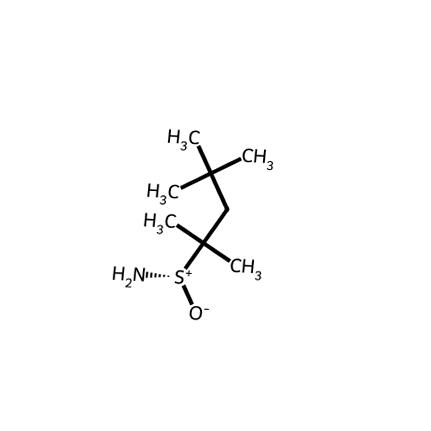 CC(C)(C)CC(C)(C)[S@@+](N)[O-]